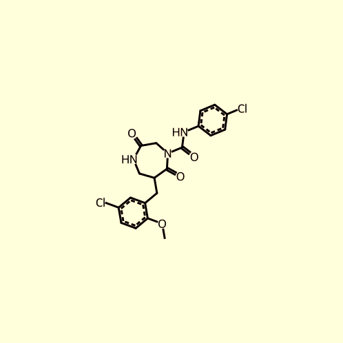 COc1ccc(Cl)cc1CC1CNC(=O)CN(C(=O)Nc2ccc(Cl)cc2)C1=O